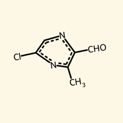 Cc1nc(Cl)cnc1C=O